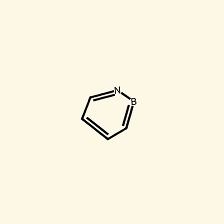 b1ccccn1